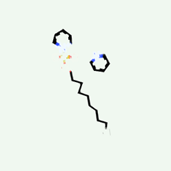 CCCCCCCCCCOS(=O)(=O)[n+]1ccccc1.c1ccncc1